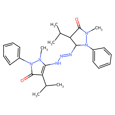 CC(C)c1c(NN=NC2C(C(C)C)C(=O)N(C)N2c2ccccc2)n(C)n(-c2ccccc2)c1=O